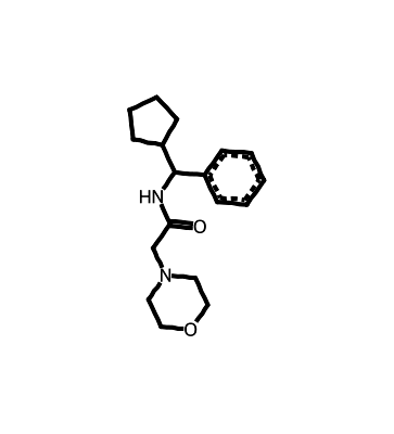 O=C(CN1CCOCC1)NC(c1ccccc1)C1CCCC1